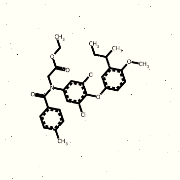 CCOC(=O)CN(C(=O)c1ccc(C)cc1)c1cc(Cl)c(Oc2ccc(OC)c(C(C)CC)c2)c(Cl)c1